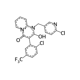 O=c1c(-c2cc(C(F)(F)F)ccc2Cl)c(O)n(Cc2ccc(Cl)nc2)c2cccc[n+]12